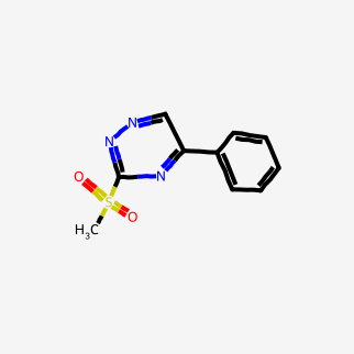 CS(=O)(=O)c1nncc(-c2ccccc2)n1